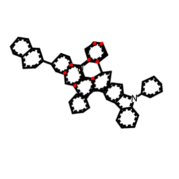 c1ccc(-c2ccccc2-c2c(-c3ccccc3)cccc2-c2ccccc2N(c2ccc(-c3ccc4ccccc4c3)cc2)c2cccc(-c3ccc4c(c3)c3ccccc3n4-c3ccccc3)c2)cc1